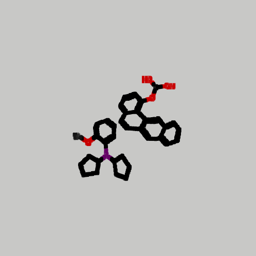 CCOc1ccccc1P(C1CCCC1)C1CCCC1.OB(O)Oc1cccc2ccc3cc4ccccc4cc3c12